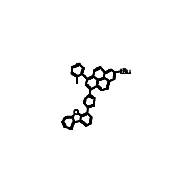 Cc1ccccc1-c1cc(-c2ccc(-c3cccc4c3oc3ccccc34)cc2)c2ccc3cc(C(C)(C)C)cc4ccc1c2c34